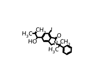 C=C(C)C(O)c1cc(I)c2c(c1)CN(C(C)(C)c1ccccc1)C2=O